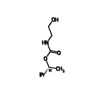 CC(C)[C@@H](C)OC(=O)NCCO